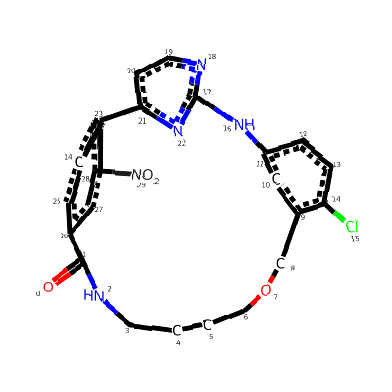 O=C1NCCCCOCc2cc(ccc2Cl)Nc2nccc(n2)-c2ccc1cc2[N+](=O)[O-]